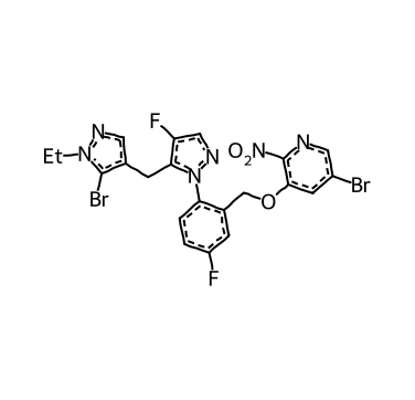 CCn1ncc(Cc2c(F)cnn2-c2ccc(F)cc2COc2cc(Br)cnc2[N+](=O)[O-])c1Br